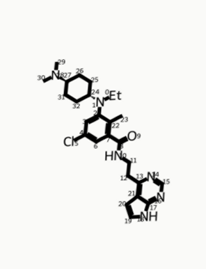 CCN(c1cc(Cl)cc(C(=O)NCCc2ncnc3[nH]ccc23)c1C)[C@H]1CC[C@H](N(C)C)CC1